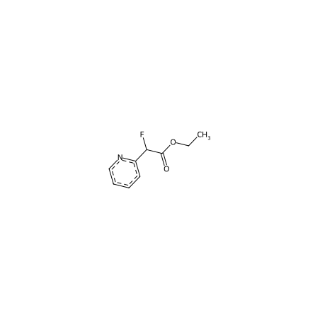 CCOC(=O)C(F)c1ccccn1